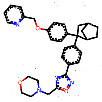 c1ccc(COc2ccc(C3(c4ccc(-c5noc(CN6CCOCC6)n5)cc4)CC4CCC3C4)cc2)nc1